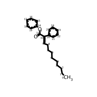 CCCCCCCCCC=C(C(=O)Oc1ccccc1)c1ccccc1